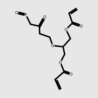 C=CC(=O)OCC(COC(=O)C=C)OCCC(=O)CP=O